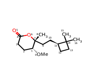 CO[C@@H]1CCC(=O)O[C@]1(C)CC[C@@H]1CCC1(C)C